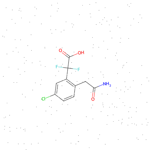 NC(=O)Cc1ccc(Cl)cc1C(F)(F)C(=O)O